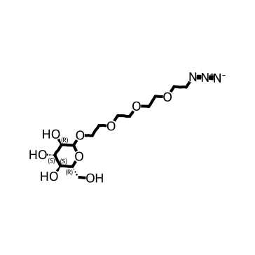 [N-]=[N+]=NCCOCCOCCOCCOC1O[C@H](CO)[C@@H](O)[C@H](O)[C@H]1O